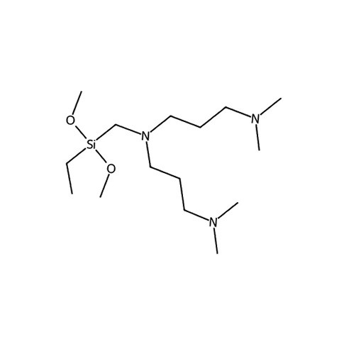 CC[Si](CN(CCCN(C)C)CCCN(C)C)(OC)OC